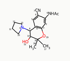 CC(=O)Nc1cc2c(cc1C#N)C(N1CCCC1)C(O)C(C)(C)O2